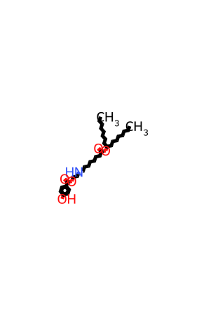 CCCCCCCCC(CCCCCCCC)OC(=O)CCCCCCCNCCOC(=O)c1ccc(O)cc1